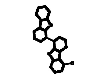 Clc1cccc2oc3c(-c4cccc5c4oc4ccccc45)cccc3c12